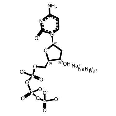 Nc1ccn([C@H]2C[C@H](O)[C@@H](COP(=O)([O-])OP(=O)([O-])OP(=O)([O-])[O-])O2)c(=O)n1.[Na+].[Na+].[Na+].[Na+]